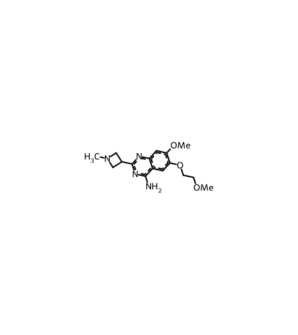 COCCOc1cc2c(N)nc(C3CN(C)C3)nc2cc1OC